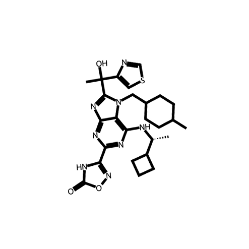 CC1CCC(Cn2c(C(C)(O)c3cscn3)nc3nc(-c4noc(=O)[nH]4)nc(N[C@H](C)C4CCC4)c32)CC1